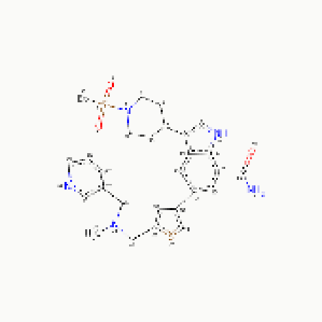 CCS(=O)(=O)N1CCC(c2c[nH]c3c(C(N)=O)cc(-c4csc(CN(C)Cc5cccnc5)c4)cc23)CC1